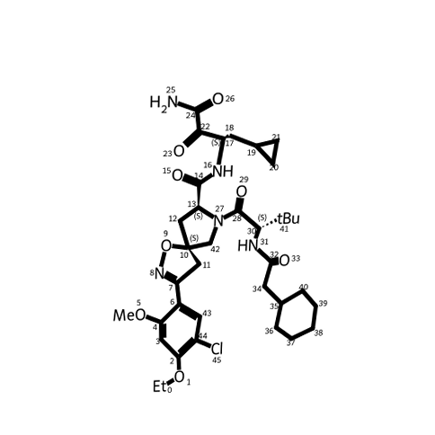 CCOc1cc(OC)c(C2=NO[C@]3(C2)C[C@@H](C(=O)N[C@@H](CC2CC2)C(=O)C(N)=O)N(C(=O)[C@@H](NC(=O)CC2CCCCC2)C(C)(C)C)C3)cc1Cl